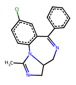 CC1=NCC2CN=C(c3ccccc3)c3cc(Cl)ccc3N12